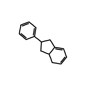 C1=CCC2CC(c3ccccc3)CC2=C1